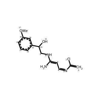 C=C(Cl)/N=C\C=C(/N)NCC(O)c1cccc(OC)c1